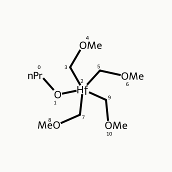 CCC[O][Hf]([CH2]OC)([CH2]OC)([CH2]OC)[CH2]OC